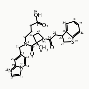 CC1(C(=O)N(CCCC(=O)O)Cc2ccn3ccnc3c2)CCN1C(=O)CC1CSc2ccccc21